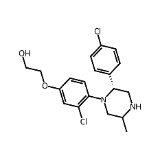 CC1CN(c2ccc(OCCO)cc2Cl)[C@H](c2ccc(Cl)cc2)CN1